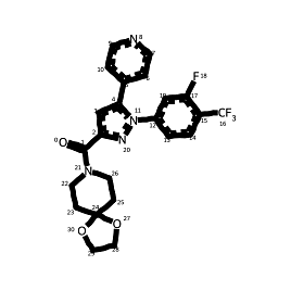 O=C(c1cc(-c2ccncc2)n(-c2ccc(C(F)(F)F)c(F)c2)n1)N1CCC2(CC1)OCCO2